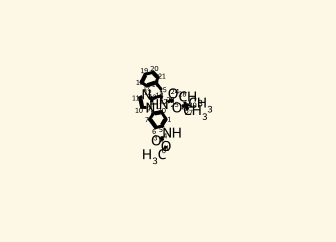 COC(=O)Nc1ccc(-n2ccnc2[C@H](Cc2ccccc2)NC(=O)OC(C)(C)C)cc1